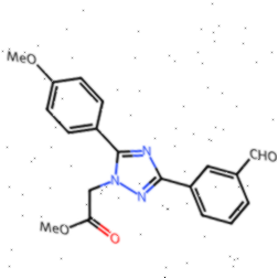 COC(=O)Cn1nc(-c2cccc(C=O)c2)nc1-c1ccc(OC)cc1